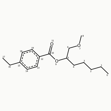 CCCCCC(COC)OC(=O)c1ccc(CC)cc1